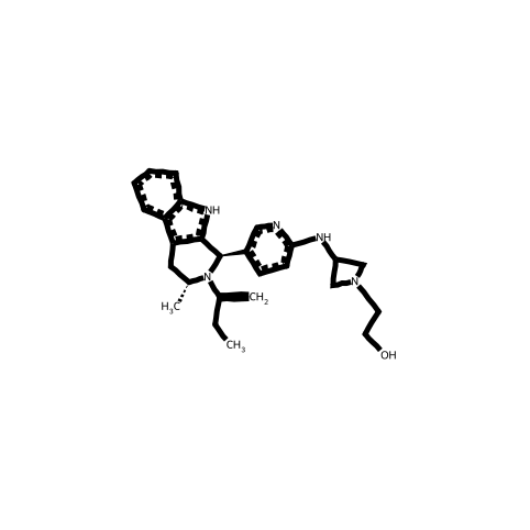 C=C(CC)N1[C@H](c2ccc(NC3CN(CCO)C3)nc2)c2[nH]c3ccccc3c2C[C@H]1C